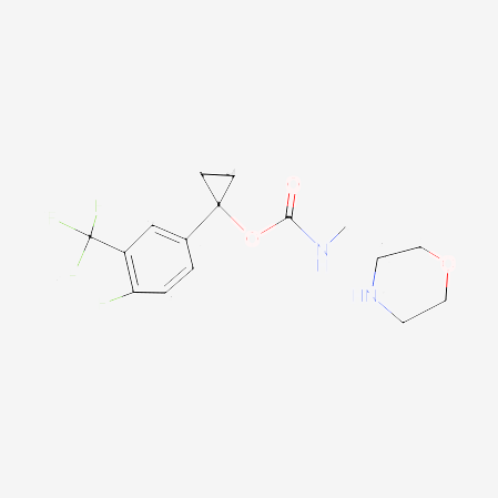 O=C(NC[C@@H]1COCCN1)OC1(c2ccc(F)c(C(F)(F)F)c2)CC1